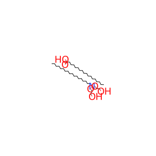 CCCCCCCCCCCCCCCCCC(=O)O.CCCCCCCCCCCCCCCCCCN(OCCO)OCCO